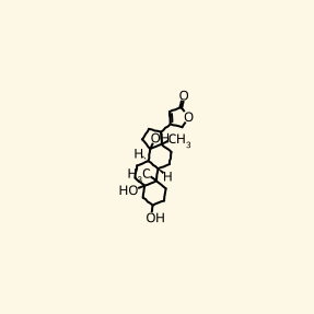 CC12CC[C@H]3[C@@H](CCC4(O)CC(O)CCC34C)C1(O)CCC2C1=CC(=O)OC1